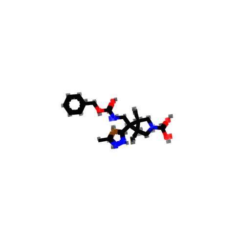 Cc1nnc(C2(CNC(=O)OCc3ccccc3)[C@@H]3CN(C(=O)O)C[C@@H]32)s1